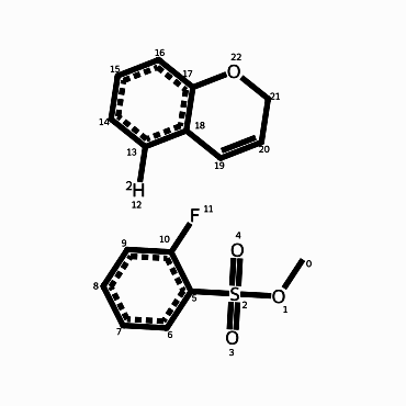 COS(=O)(=O)c1ccccc1F.[2H]c1cccc2c1C=CCO2